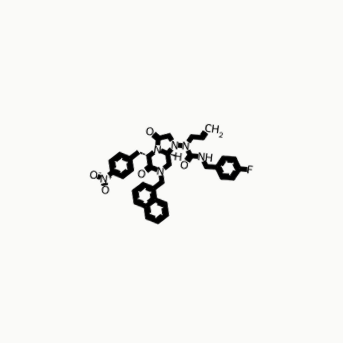 C=CCN(C(=O)NCc1ccc(F)cc1)N1CC(=O)N2[C@@H](Cc3ccc([N+](=O)[O-])cc3)C(=O)N(Cc3cccc4ccccc34)C[C@@H]21